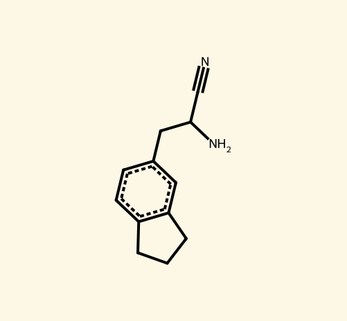 N#CC(N)Cc1ccc2c(c1)CCC2